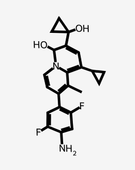 CC1=C(c2cc(F)c(N)cc2F)C=CN2C1=C(C1CC1)C=C(C1(O)CC1)C2O